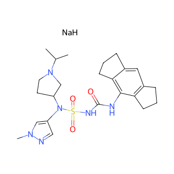 CC(C)N1CCC(N(c2cnn(C)c2)S(=O)(=O)NC(=O)Nc2c3c(cc4c2CCC4)CCC3)C1.[NaH]